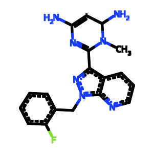 CN1C(c2nn(Cc3ccccc3F)c3ncccc23)=NC(N)=[C]C1N